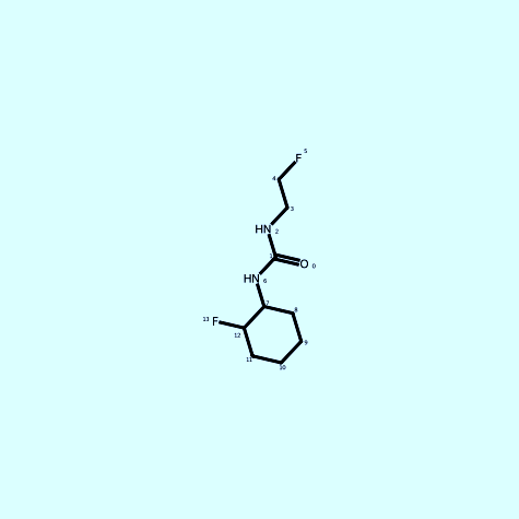 O=C(NCCF)NC1CCCCC1F